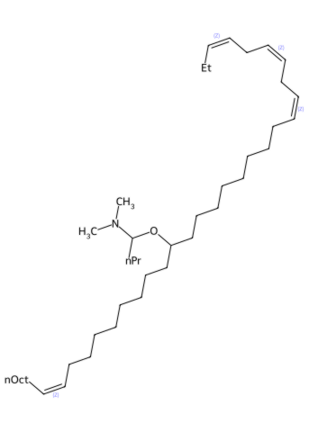 CC/C=C\C/C=C\C/C=C\CCCCCCCCC(CCCCCCCC/C=C\CCCCCCCC)OC(CCC)N(C)C